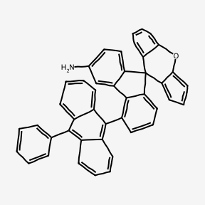 Nc1ccc2c(c1)-c1c(-c3c4ccccc4c(-c4ccccc4)c4ccccc34)cccc1C21c2ccccc2Oc2ccccc21